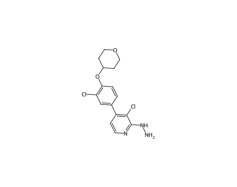 NNc1nccc(-c2ccc(OC3CCOCC3)c(Cl)c2)c1Cl